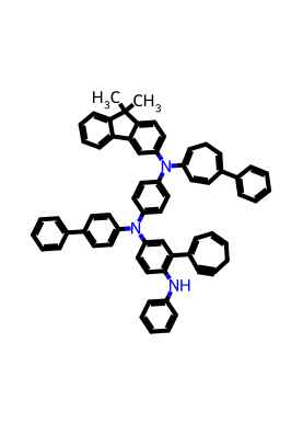 CC1(C)c2ccccc2-c2cc(N(C3=CCC=C(c4ccccc4)C=C3)c3ccc(N(c4ccc(-c5ccccc5)cc4)c4ccc(Nc5ccccc5)c(C5=CC=CCC#C5)c4)cc3)ccc21